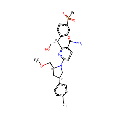 CCS(=O)(=O)c1ccc([C@@H](CO)c2nc(N3C[C@H](c4ccc(C(F)(F)F)cc4)C[C@H]3COC(F)(F)F)ccc2C(N)=O)cc1